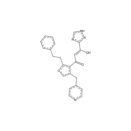 O=C(C=C(O)c1nc[nH]n1)c1c(Cc2ccncc2)coc1CCc1ccccc1